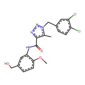 COc1ccc(CO)cc1NC(=O)c1nnn(Cc2ccc(Cl)c(Cl)c2)c1C